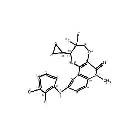 Cn1c(=O)c2c(c3cc(Nc4ccnc(Cl)c4Cl)ccc31)N[C@@H](C1CC1)C(F)(F)CO2